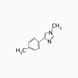 Cc1ccc(-c2cn(C)cn2)cc1